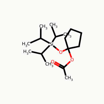 CC(=O)OC1(O[Si](C(C)C)(C(C)C)C(C)C)CCCC1